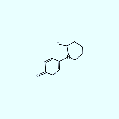 O=C1C=CC(N2CCCCC2F)=CC1